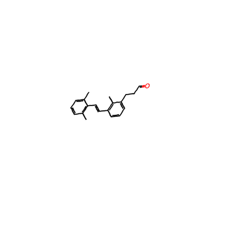 Cc1cccc(C)c1C=Cc1cccc(CCC=O)c1C